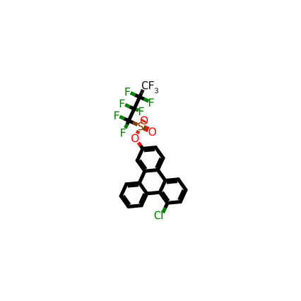 O=S(=O)(Oc1ccc2c(c1)c1ccccc1c1c(Cl)cccc21)C(F)(F)C(F)(F)C(F)(F)C(F)(F)F